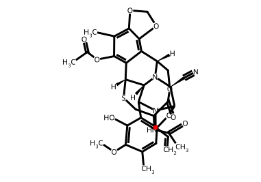 C=CCN1C2c3c(cc(C)c(OC)c3O)CC1[C@H](C#N)N1[C@H]2[C@@H]2SCC(NC(C)=O)C(=O)OC[C@H]1c1c3c(c(C)c(OC(C)=O)c12)OCO3